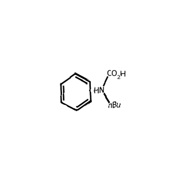 CCCCNC(=O)O.c1ccccc1